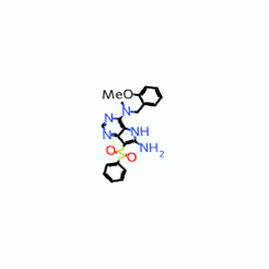 COc1ccccc1CN(C)c1ncnc2c(S(=O)(=O)c3ccccc3)c(N)[nH]c12